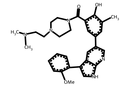 COc1ccccc1-c1c[nH]c2ncc(-c3cc(C)c(O)c(C(=O)N4CCN(CCN(C)C)CC4)c3)cc12